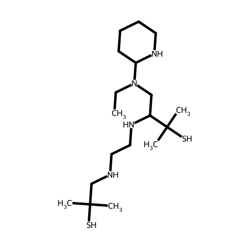 CCN(CC(NCCNCC(C)(C)S)C(C)(C)S)C1CCCCN1